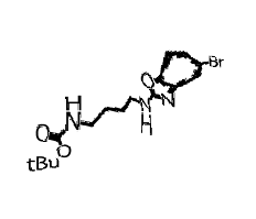 CC(C)(C)OC(=O)NCCCCNc1nc2cc(Br)ccc2o1